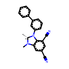 C[C@H]1N(C)c2cc(C#N)cc(C#N)c2N1c1cccc(-c2ccccc2)c1